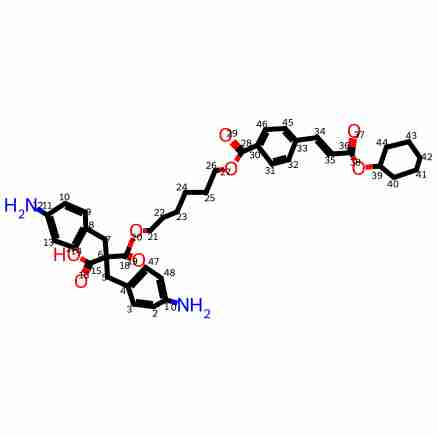 Nc1ccc(CC(Cc2ccc(N)cc2)(C(=O)O)C(=O)OCCCCCCOC(=O)c2ccc(C=CC(=O)OC3CCCCC3)cc2)cc1